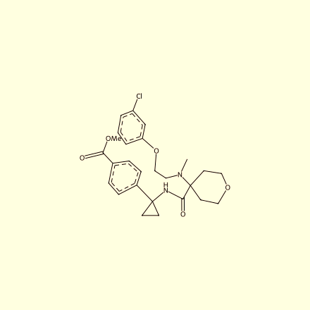 COC(=O)c1ccc(C2(NC(=O)C3(N(C)CCOc4cccc(Cl)c4)CCOCC3)CC2)cc1